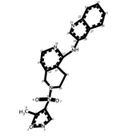 Cc1oncc1S(=O)(=O)N1CCc2c(ccnc2Nc2cnc3ccccc3c2)C1